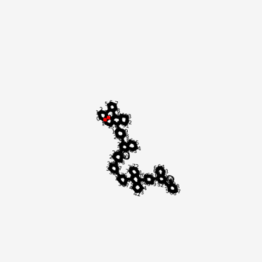 c1ccc(-c2ccccc2-c2c3ccccc3c(-c3ccc(-c4cc5c6ccc(-c7cccc(-c8cccc(-c9c%10ccccc%10c(-c%10ccc(-c%11cc%12c%13ccccc%13oc%12c%12ccccc%11%12)cc%10)c%10ccccc9%10)c8)c7)cc6oc5c5ccccc45)cc3)c3ccccc23)cc1